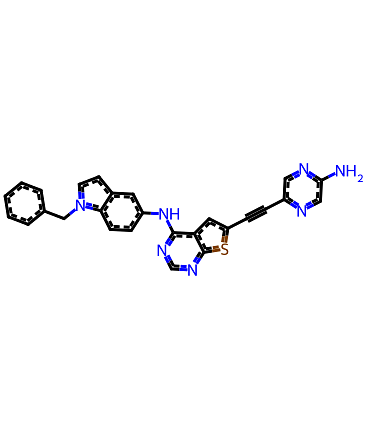 Nc1cnc(C#Cc2cc3c(Nc4ccc5c(ccn5Cc5ccccc5)c4)ncnc3s2)cn1